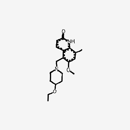 CCOC1CCN(Cc2c(OC)cc(C)c3[nH]c(=O)ccc23)CC1